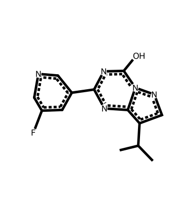 CC(C)c1cnn2c(O)nc(-c3cncc(F)c3)nc12